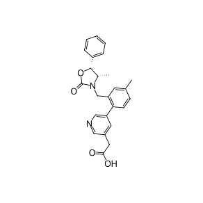 Cc1ccc(-c2cncc(CC(=O)O)c2)c(CN2C(=O)O[C@H](c3ccccc3)[C@@H]2C)c1